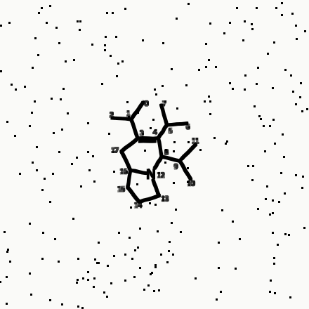 CC(C)C1=C(C(C)C)C(C(C)C)N2CCCC2C1